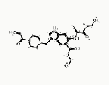 C=CC(=O)N1CCN(Cc2c[nH]c3cc(NC(=O)C(=O)OCC)c(C(=O)OCC)cc23)CC1